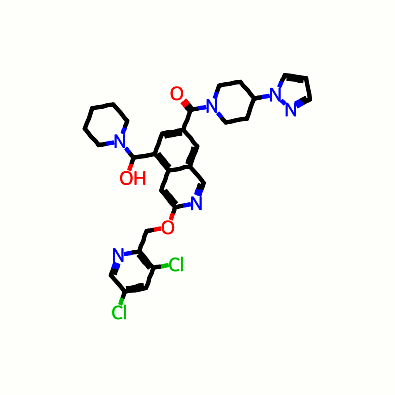 O=C(c1cc(C(O)N2CCCCC2)c2cc(OCc3ncc(Cl)cc3Cl)ncc2c1)N1CCC(n2cccn2)CC1